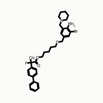 CC(F)(C(=O)OCCCCCOCc1cc(Br)c(N)c(CN2CCCCC2)c1)c1ccc(-c2ccccc2)cc1